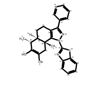 C[C@H]1C(O)=C(C#N)C[C@@]2(C)c3c(c(-c4cccnc4)nn3-c3nc4ccccc4s3)CC[C@H]12